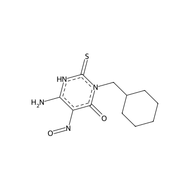 Nc1[nH]c(=S)n(CC2CCCCC2)c(=O)c1N=O